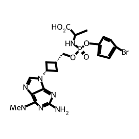 CNc1nc(N)nc2c1ncn2[C@H]1C[C@@H](COP(=O)(NC(C)C(=O)O)Oc2ccc(Br)cc2)C1